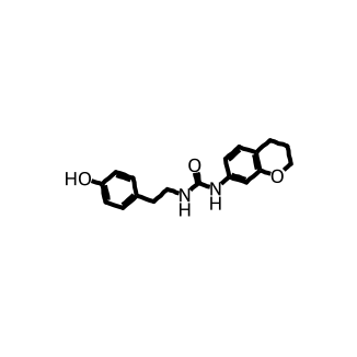 O=C(NCCc1ccc(O)cc1)Nc1ccc2c(c1)OCCC2